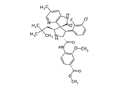 COC(=O)c1ccc(NC(=O)[C@@H]2N[C@@H](CC(C)(C)C)[C@@]3(C(=O)Nc4cc(C)cnc43)[C@H]2c2cccc(Cl)c2F)c(OC)c1